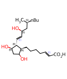 CCCC[C@H](C)C[C@H](O)/C=C/[C@H]1[C@H](O)CC(O)[C@@H]1CCCC/C=C/C(=O)O